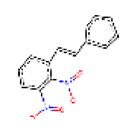 O=[N+]([O-])c1cccc(C=Cc2ccccc2)c1[N+](=O)[O-]